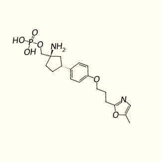 Cc1cnc(CCCOc2ccc([C@@H]3CC[C@](N)(COP(=O)(O)O)C3)cc2)o1